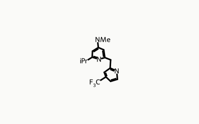 CNc1cc(Cc2cc(C(F)(F)F)ccn2)nc(C(C)C)c1